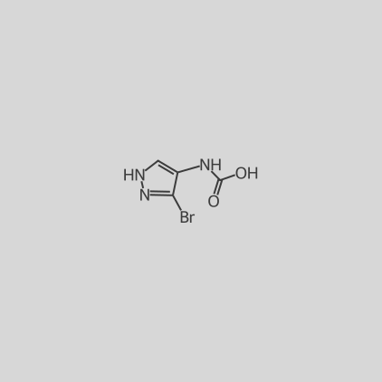 O=C(O)Nc1c[nH]nc1Br